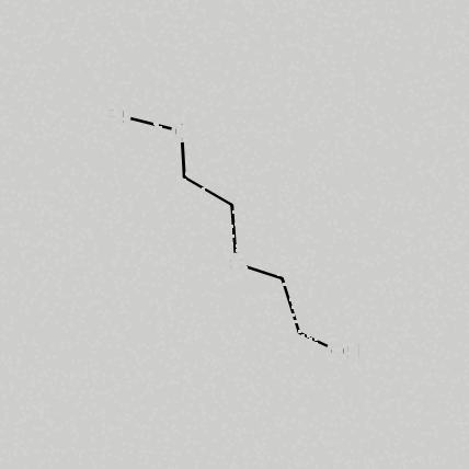 CCO[CH]COCCO